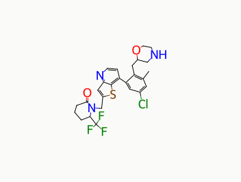 Cc1cc(Cl)cc(-c2ccnc3cc(CN4C(=O)CCCC4C(F)(F)F)sc23)c1CC1CNCCO1